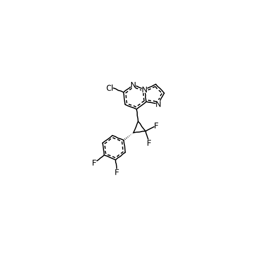 Fc1ccc([C@@H]2C(c3cc(Cl)nn4ccnc34)C2(F)F)cc1F